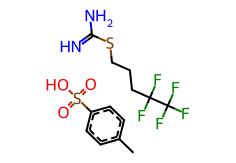 Cc1ccc(S(=O)(=O)O)cc1.N=C(N)SCCCC(F)(F)C(F)(F)F